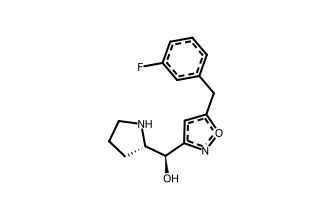 O[C@H](c1cc(Cc2cccc(F)c2)on1)[C@@H]1CCCN1